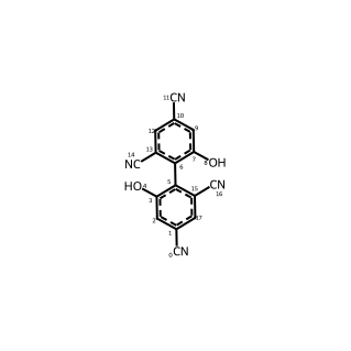 N#Cc1cc(O)c(-c2c(O)cc(C#N)cc2C#N)c(C#N)c1